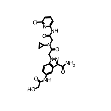 NC(=O)c1nn(CC(=O)N(CC(=O)Nc2cccc(Cl)n2)C2CC2)c2ccc(NC(=O)CO)cc12